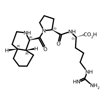 N=C(N)NCCC[C@H](NC(=O)[C@@H]1CCCN1C(=O)[C@@H]1NCC[C@H]2CCCC[C@H]21)C(=O)O